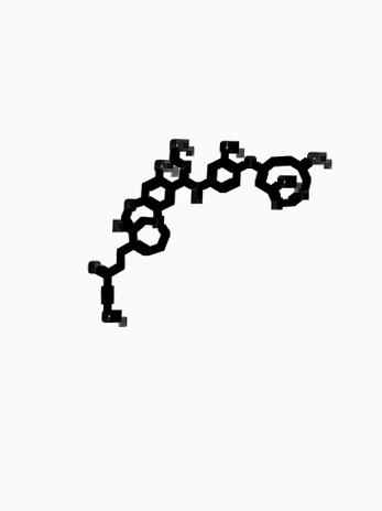 C=C/N=C(/Nc1ccc(OC2=C/C(C)=N/C=N\CC(=C)/C=C\2)c(C)c1)c1cc2c(cc1C)OC[C@@H]1CN2CCC=C1CCC(=O)C#CC